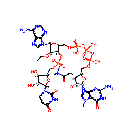 CCO[C@@H]1[C@H](OP(=O)([O-])OC[C@H]2O[C@@H](n3ccc(=O)[nH]c3=O)[C@H](O)[C@@H]2O)C(COP(=O)(O)OP(=O)(O)OP(=O)(O)OC[C@H]2O[C@@H](n3c[n+](C)c4c(=O)[nH]c(N)nc43)[C@H](O)[C@@H]2CC(=O)N(C)C)O[C@H]1n1cnc2c(N)ncnc21